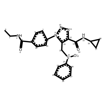 CCNC(=O)c1ccc(-n2nnc(C(=O)NC3CC3)c2C[S+]([O-])c2ccccc2)cc1